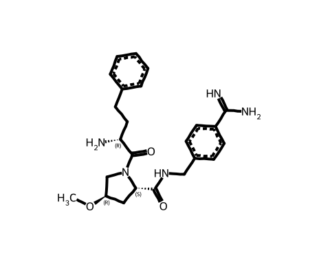 CO[C@@H]1C[C@@H](C(=O)NCc2ccc(C(=N)N)cc2)N(C(=O)[C@H](N)CCc2ccccc2)C1